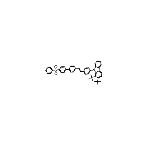 CC(C)(C)c1ccc2c3ccccc3n(-c3ccc(C=Cc4ccc(-c5ccc(S(=O)(=O)c6ccccc6)cc5)cc4)cc3)c2c1C(C)(C)C